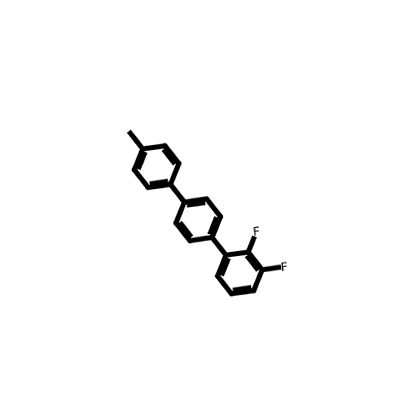 Cc1ccc(-c2ccc(-c3cccc(F)c3F)cc2)cc1